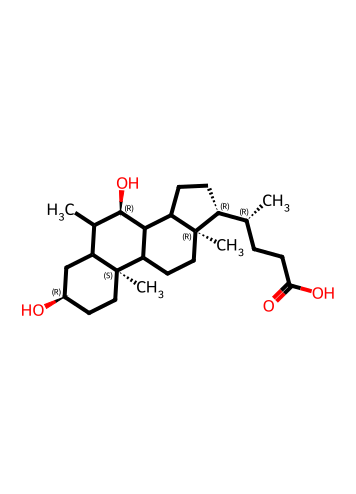 CC1C2C[C@H](O)CC[C@]2(C)C2CC[C@@]3(C)C(CC[C@@H]3[C@H](C)CCC(=O)O)C2[C@@H]1O